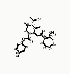 C=C(/C=C1\C(=C)N(C(C)=O)C(C)CN1C(=O)Oc1ccc(C)cc1)C1=C(N)CC=CC=C1